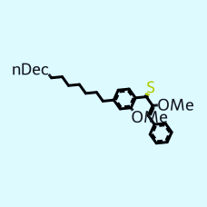 CCCCCCCCCCCCCCCCCc1ccc(C(=S)C(=Cc2ccccc2)OC)c(OC)c1